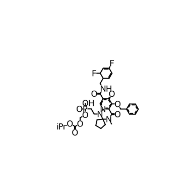 CC(C)OC(=O)OCOP(=O)(O)CCN1n2cc(C(=O)NCC3C=CC(F)=CC3F)c(=O)c(OCc3ccccc3)c2C(=O)N(C)C12CCCC2